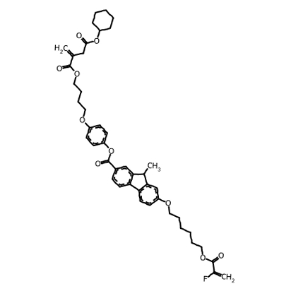 C=C(F)C(=O)OCCCCCCOc1ccc2c(c1)C(C)c1cc(C(=O)Oc3ccc(OCCCCOC(=O)C(=C)CC(=O)OC4CCCCC4)cc3)ccc1-2